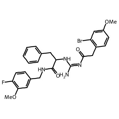 COc1ccc(CC(=O)N=C(N)NC(Cc2ccccc2)C(=O)NCc2ccc(F)c(OC)c2)c(Br)c1